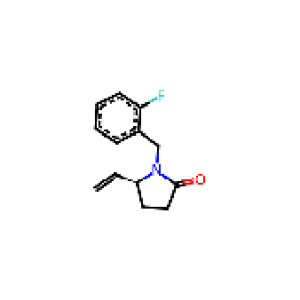 C=C[C@@H]1CCC(=O)N1Cc1ccccc1F